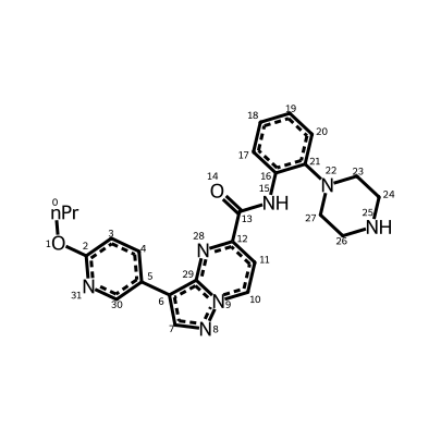 CCCOc1ccc(-c2cnn3ccc(C(=O)Nc4ccccc4N4CCNCC4)nc23)cn1